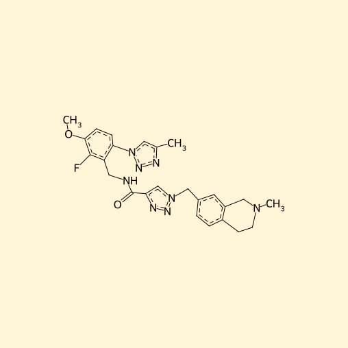 COc1ccc(-n2cc(C)nn2)c(CNC(=O)c2cn(Cc3ccc4c(c3)CN(C)CC4)nn2)c1F